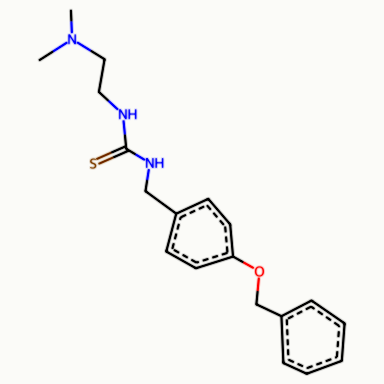 CN(C)CCNC(=S)NCc1ccc(OCc2ccccc2)cc1